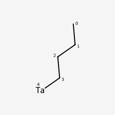 CCC[CH2][Ta]